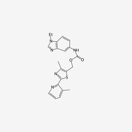 CCn1cnc2cc(NC(=O)OCc3sc(-c4ncccc4C)nc3C)ccc21